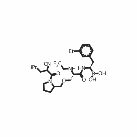 CCc1cccc(C[C@H](NC(=O)[C@H](COC[C@H]2CCCN2C(=O)C(C#N)CC(C)C)NCC(F)(F)F)B(O)O)c1